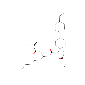 C=C(C)C(=O)OC(CCCCC)OC(=O)CC1(CC(=O)OC)CCC(C2CCC(CCC)CC2)CC1